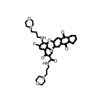 O=C(NCCCN1CCOCC1)c1cn2c3cc4c(=O)c5ccccc5c(=O)c4cc3oc3c(NCCCN4CCOCC4)c(F)cc(c1=O)c32